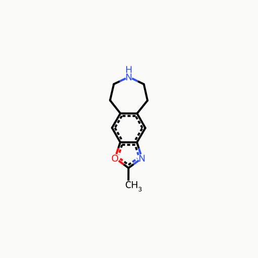 Cc1nc2cc3c(cc2o1)CCNCC3